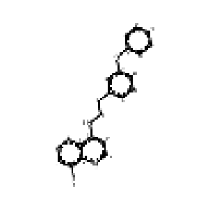 Fc1cccc2c(NCCc3cccc(Oc4ccccc4)c3)ccnc12